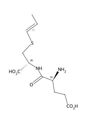 C/C=C/SC[C@H](NC(=O)[C@@H](N)CCC(=O)O)C(=O)O